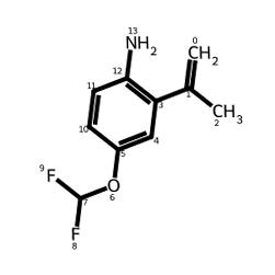 C=C(C)c1cc(OC(F)F)ccc1N